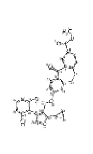 COC(=O)c1ccc2c(c1)C(=O)c1ccc(OCc3c(-c4c(Cl)cccc4Cl)noc3C3CC3)cc1CC2